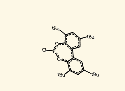 CC(C)(C)c1cc(C(C)(C)C)c2op(Cl)oc3c(C(C)(C)C)cc(C(C)(C)C)cc3c2c1